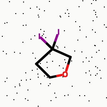 IC1(I)CCOC1